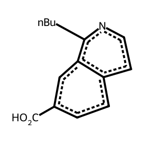 CCCCc1nccc2ccc(C(=O)O)cc12